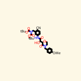 COc1ccc(CN2CCO[C@H]([C@@H](O)C(=O)Nc3ccc(C#N)c(CN(C(=O)OC(C)(C)C)C(=O)OC(C)(C)C)c3)C2=O)cc1